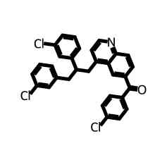 O=C(c1ccc(Cl)cc1)c1ccc2nccc(CC(Cc3cccc(Cl)c3)c3cccc(Cl)c3)c2c1